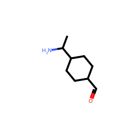 CC(N)C1CCC(C=O)CC1